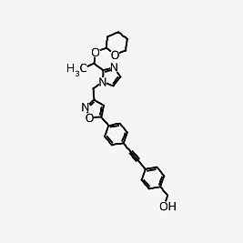 CC(OC1CCCCO1)c1nccn1Cc1cc(-c2ccc(C#Cc3ccc(CO)cc3)cc2)on1